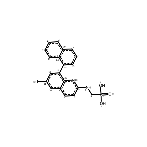 O=P(O)(O)CNc1ccc2cc(I)cc(-c3cccc4ccccc34)c2n1